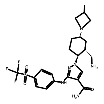 CC1CN([C@H]2CC[C@H](n3cc(C(N)=O)c(Nc4ccc(S(=O)(=O)C(F)(F)F)cc4)n3)[C@@H](CN)C2)C1